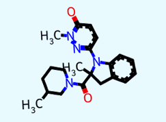 CC1CCCN(C(=O)C2(C)Cc3ccccc3N2c2ccc(=O)n(C)n2)C1